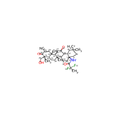 CC1(C)CC[C@]2(NC(=O)C(C)(F)F)CCC3C(C(=O)C=C4[C@@]5(C)C=C(C#N)C(=O)[C@@](C)(CO)C5CC[C@]43C)C2C1